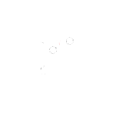 C=CCc1cc(C(=O)C(O)c2ccccc2)ccc1OCCC[CH2][SnH]([CH3])[CH3].Cl